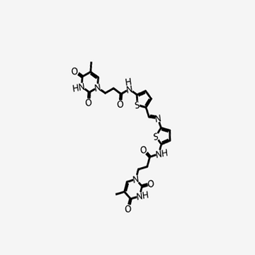 Cc1cn(CCC(=O)Nc2ccc(/C=N/c3ccc(NC(=O)CCn4cc(C)c(=O)[nH]c4=O)s3)s2)c(=O)[nH]c1=O